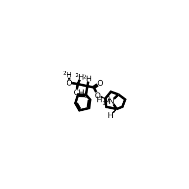 [2H]OC([2H])(C)C([2H])(C(=O)O[C@H]1CC2CC[C@H](C1)N2C)c1ccccc1